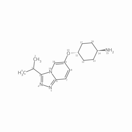 CC(C)c1nnc2ccc(O[C@H]3CC[C@H](N)CC3)cn12